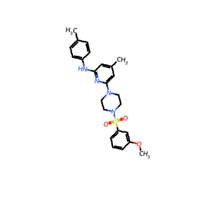 COc1cccc(S(=O)(=O)N2CCN(c3cc(C)cc(Nc4ccc(C)cc4)n3)CC2)c1